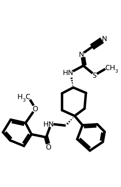 COc1ccccc1C(=O)NC[C@]1(c2ccccc2)CC[C@H](N/C(=N/C#N)SC)CC1